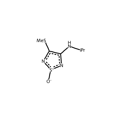 CSc1n[s+]([O-])nc1NC(C)C